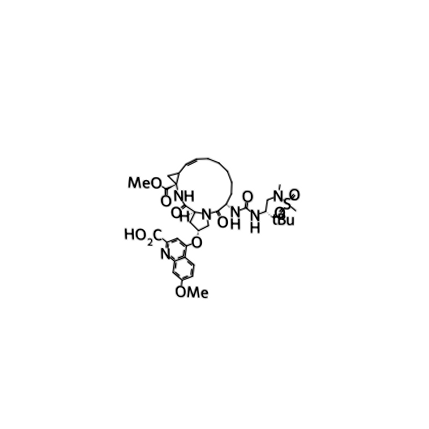 COC(=O)[C@@]12CC1/C=C\CCCCC[C@H](NC(=O)N[C@H](CN(C)S(C)(=O)=O)C(C)(C)C)C(=O)N1C[C@H](Oc3cc(C(=O)O)nc4cc(OC)ccc34)C[C@H]1C(=O)N2